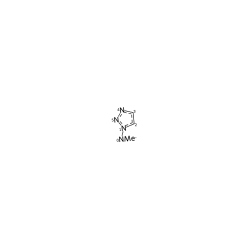 C[N]n1ccnn1